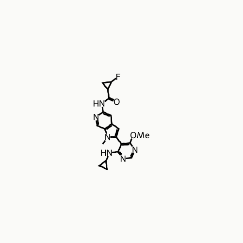 COc1ncnc(NC2CC2)c1-c1cc2cc(NC(=O)C3CC3F)ncc2n1C